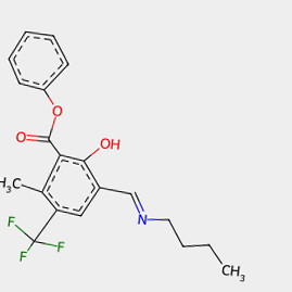 CCCC/N=C/c1cc(C(F)(F)F)c(C)c(C(=O)Oc2ccccc2)c1O